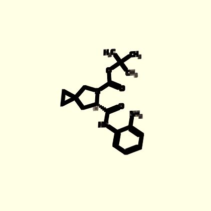 CC(C)(C)OC(=O)N1CC2(CC2)C[C@H]1C(=O)Nc1ccccc1N